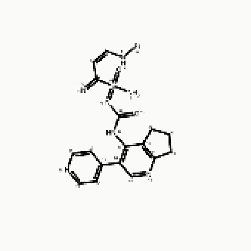 CCN/C=C\C(=N)S(N)(=O)=NC(=O)Nc1c(-c2ccncc2)cnc2c1CCC2